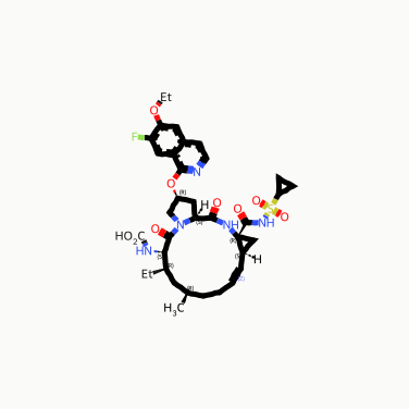 CCOc1cc2ccnc(O[C@@H]3C[C@H]4C(=O)N[C@]5(C(=O)NS(=O)(=O)C6CC6)C[C@H]5/C=C\CC[C@@H](C)C[C@@H](CC)[C@H](NC(=O)O)C(=O)N4C3)c2cc1F